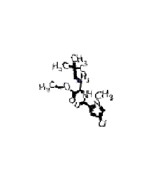 CCOC(=O)C(/C=C/C(C)(C)C)NC(=O)c1cc(Cl)cn1C